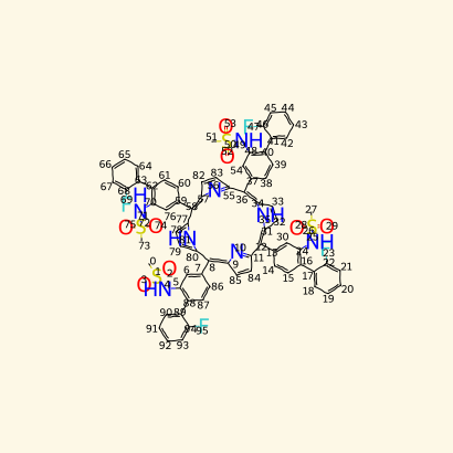 CS(=O)(=O)Nc1cc(-c2c3nc(c(-c4ccc(-c5ccccc5F)c(NS(C)(=O)=O)c4)c4ccc([nH]4)c(-c4ccc(-c5ccccc5F)c(NS(C)(=O)=O)c4)c4nc(c(-c5ccc(-c6ccccc6F)c(NS(C)(=O)=O)c5)c5ccc2[nH]5)C=C4)C=C3)ccc1-c1ccccc1F